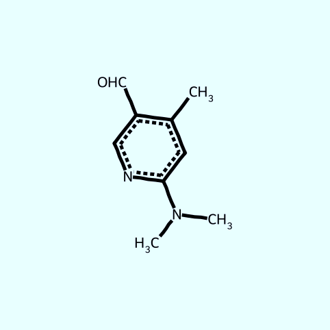 Cc1cc(N(C)C)ncc1C=O